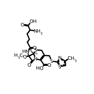 CO[C@@]1(NC(=O)CCCC(N)C(=O)O)C(=O)N2C(C(=O)O)=C(CSc3nc(C)cs3)CS[C@H]21